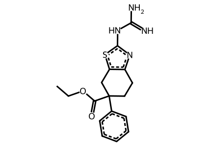 CCOC(=O)C1(c2ccccc2)CCc2nc(NC(=N)N)sc2C1